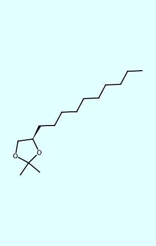 CCCCCCCCCC[C@@H]1COC(C)(C)O1